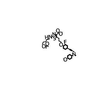 COC(=O)c1nc(NCCC2CCOC(C)(C)O2)sc1CCCOc1ccc(C#CCN(C)c2ccc(OC)cc2)cc1F